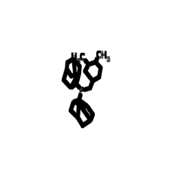 CC1CCC(CP(C2C3CC4CC(C3)CC2C4)C2C3CC4CC(C3)CC2C4)CC1C